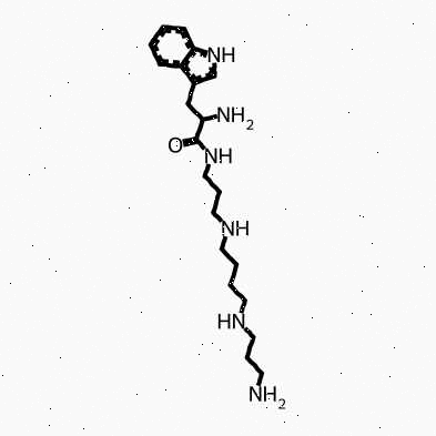 NCCCNCCCCNCCCNC(=O)C(N)Cc1c[nH]c2ccccc12